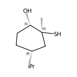 CC(C)[C@@H]1CC[C@H](O)[C@@](C)(S)C1